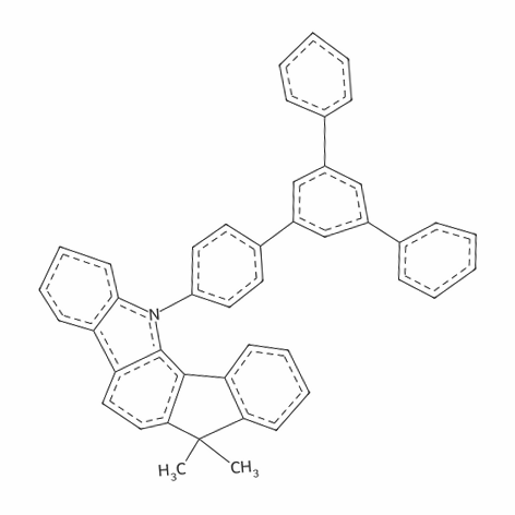 CC1(C)c2ccccc2-c2c1ccc1c3ccccc3n(-c3ccc(-c4cc(-c5ccccc5)cc(-c5ccccc5)c4)cc3)c21